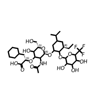 CC[C@@H]1CC(C(C)C)CC(O[C@@H]2O[C@@H](CO)C(O)C(O[C@@H](CC3CCCCC3)C(=O)O)C2NC(C)=O)C1OC1OC(C(F)(F)F)C(O)C(O)C1O